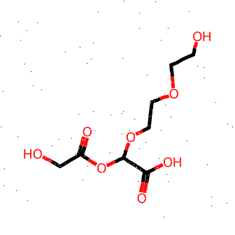 O=C(CO)OC(OCCOCCO)C(=O)O